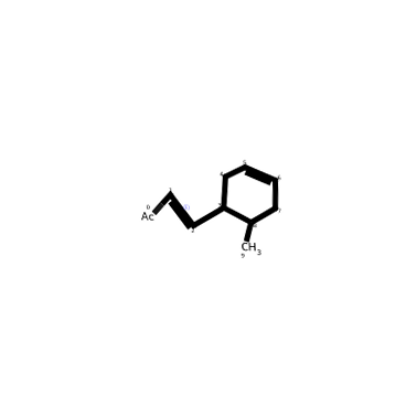 CC(=O)/C=C/C1CC=CCC1C